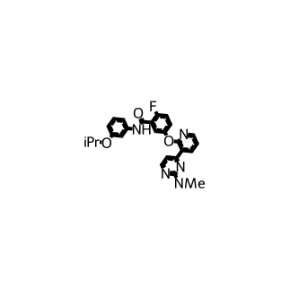 CNc1nccc(-c2cccnc2Oc2ccc(F)c(C(=O)Nc3cccc(OC(C)C)c3)c2)n1